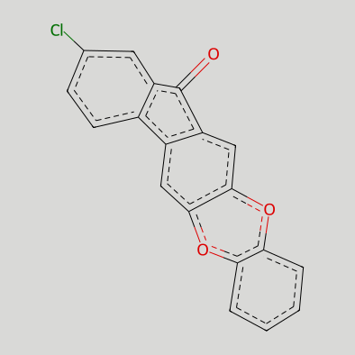 O=c1c2cc(Cl)ccc2c2cc3oc4ccccc4oc3cc12